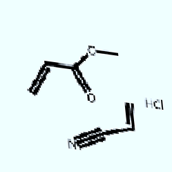 C=CC#N.C=CC(=O)OC.Cl